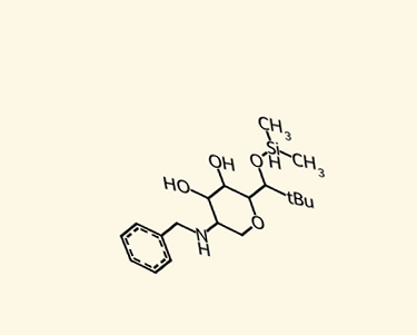 C[SiH](C)OC(C1OCC(NCc2ccccc2)C(O)C1O)C(C)(C)C